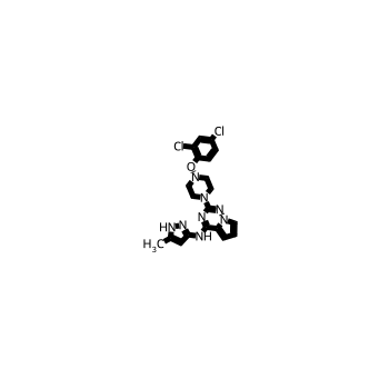 Cc1cc(Nc2nc(N3CCN(Oc4ccc(Cl)cc4Cl)CC3)nn3cccc23)n[nH]1